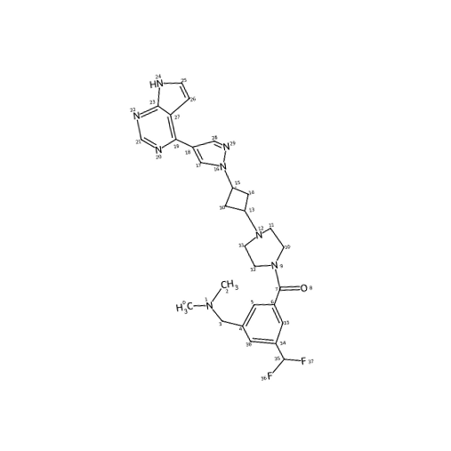 CN(C)Cc1cc(C(=O)N2CCN(C3C[C](n4cc(-c5ncnc6[nH]ccc56)cn4)C3)CC2)cc(C(F)F)c1